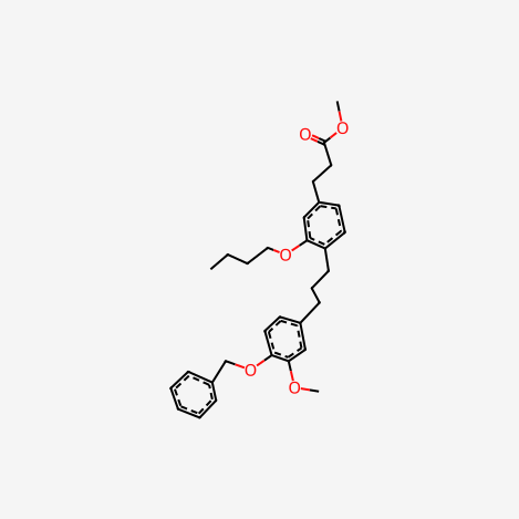 CCCCOc1cc(CCC(=O)OC)ccc1CCCc1ccc(OCc2ccccc2)c(OC)c1